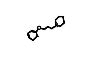 [CH]1CC=CC=C1OCCCN1CCCCC1